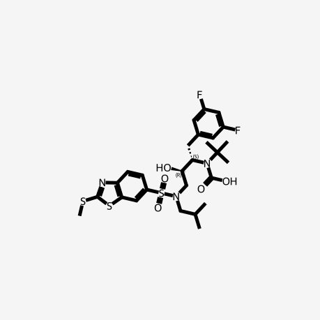 CSc1nc2ccc(S(=O)(=O)N(CC(C)C)C[C@@H](O)[C@H](Cc3cc(F)cc(F)c3)N(C(=O)O)C(C)(C)C)cc2s1